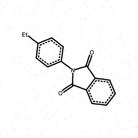 [CH2]Cc1ccc(N2C(=O)c3ccccc3C2=O)cc1